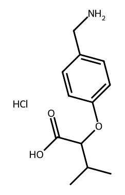 CC(C)C(Oc1ccc(CN)cc1)C(=O)O.Cl